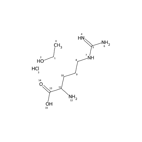 CCO.Cl.N=C(N)NCCCC(N)C(=O)O